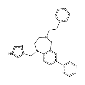 c1ccc(CCN2CCN(Cc3c[nH]cn3)c3ccc(-c4ccccc4)cc3S2)cc1